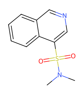 CN(C)S(=O)(=O)c1cncc2ccccc12